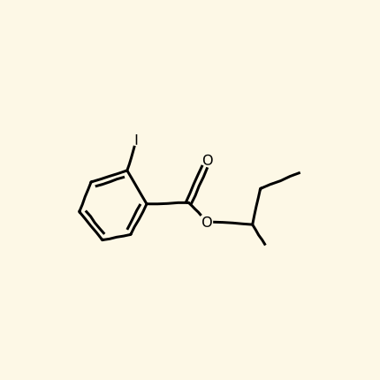 CCC(C)OC(=O)c1ccccc1I